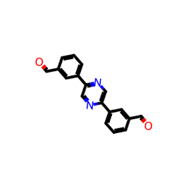 O=Cc1cccc(-c2cnc(-c3cccc(C=O)c3)cn2)c1